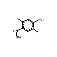 Cc1cc(C(C)(C)C)c(C)cc1NC(C)(C)C